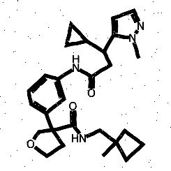 Cn1nccc1C(CC(=O)Nc1cccc(C2(C(=O)NCC3(C)CCC3)CCOC2)c1)C1CC1